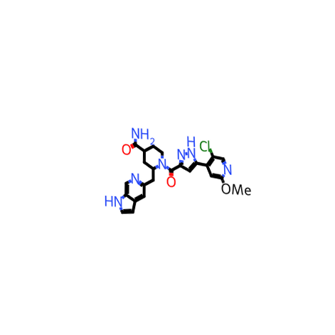 COc1cc(-c2cc(C(=O)N3CCC(C(N)=O)CC3Cc3cc4cc[nH]c4cn3)n[nH]2)c(Cl)cn1